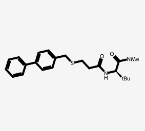 CNC(=O)[C@H](NC(=O)[CH]CSCc1ccc(-c2ccccc2)cc1)C(C)(C)C